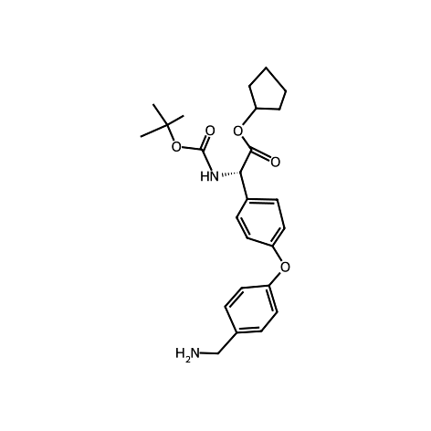 CC(C)(C)OC(=O)N[C@H](C(=O)OC1CCCC1)c1ccc(Oc2ccc(CN)cc2)cc1